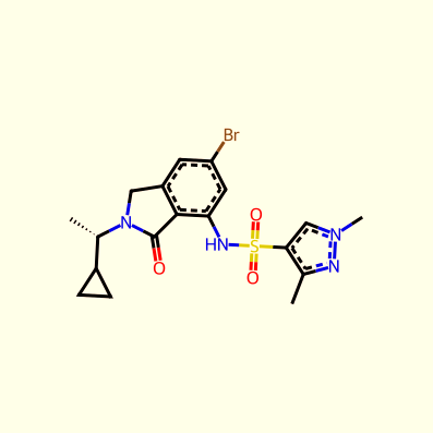 Cc1nn(C)cc1S(=O)(=O)Nc1cc(Br)cc2c1C(=O)N([C@@H](C)C1CC1)C2